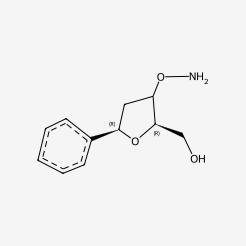 NOC1C[C@H](c2ccccc2)O[C@@H]1CO